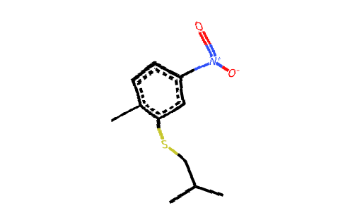 Cc1ccc([N+](=O)[O-])cc1SCC(C)C